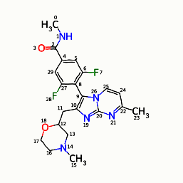 CNC(=O)c1cc(F)c(-c2c(CC3CN(C)CCO3)nc3nc(C)ccn23)c(F)c1